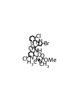 COC(=O)N(C)N(C)C(=O)c1nc(Cl)cc(C)c1NC(=O)c1cc(Br)nn1-c1ncccc1Cl